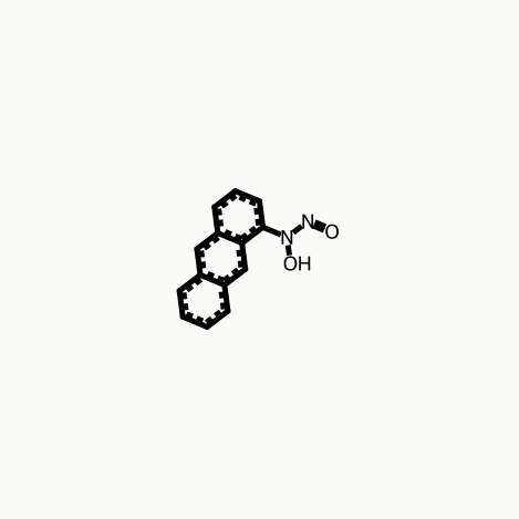 O=NN(O)c1cccc2cc3ccccc3cc12